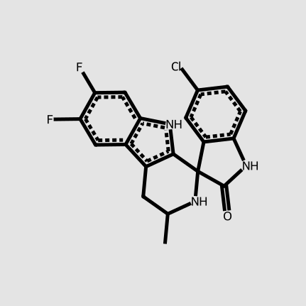 CC1Cc2c([nH]c3cc(F)c(F)cc23)C2(N1)C(=O)Nc1ccc(Cl)cc12